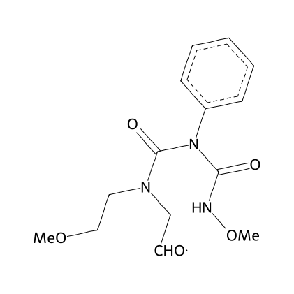 COCCN(C[C]=O)C(=O)N(C(=O)NOC)c1ccccc1